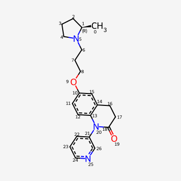 C[C@@H]1CCCN1CCCOc1ccc2c(c1)CCC(=O)N2c1cccnc1